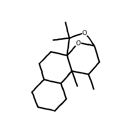 CC1CC2OC(C)(C)C3(CCC4CCCCC4C13C)O2